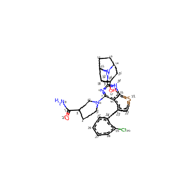 NC(=O)C1CCN(c2nc(N3C4CCC3CC(O)C4)nc3scc(-c4ccccc4Cl)c23)C1